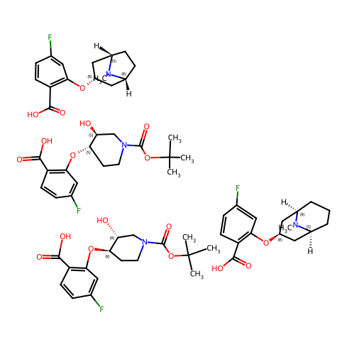 CC(C)(C)OC(=O)N1CC[C@@H](Oc2cc(F)ccc2C(=O)O)[C@H](O)C1.CC(C)(C)OC(=O)N1CC[C@H](Oc2cc(F)ccc2C(=O)O)[C@@H](O)C1.CN1[C@@H]2CCC[C@H]1C[C@@H](Oc1cc(F)ccc1C(=O)O)C2.CN1[C@@H]2CC[C@H]1C[C@@H](Oc1cc(F)ccc1C(=O)O)C2